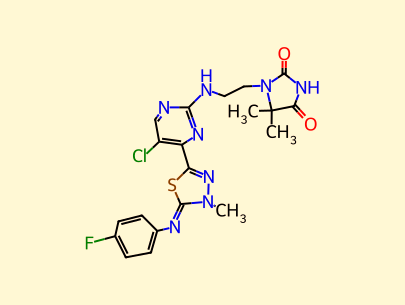 Cn1nc(-c2nc(NCCN3C(=O)NC(=O)C3(C)C)ncc2Cl)sc1=Nc1ccc(F)cc1